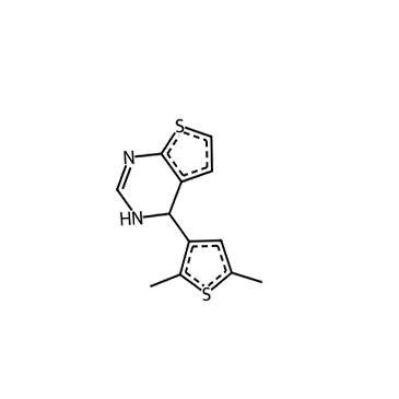 Cc1cc(C2NC=Nc3sccc32)c(C)s1